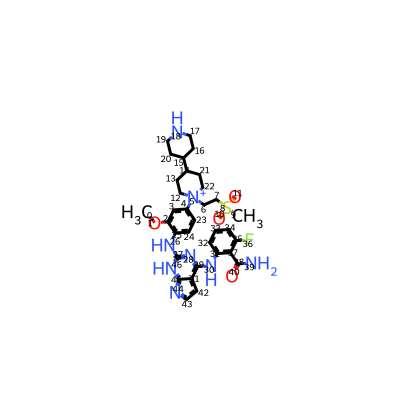 COc1cc([N+]2(CCS(C)(=O)=O)CCC(C3CCNCC3)CC2)ccc1Nc1nc(Nc2cccc(F)c2C(N)=O)c2ccnc-2[nH]1